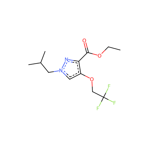 CCOC(=O)c1nn(CC(C)C)cc1OCC(F)(F)F